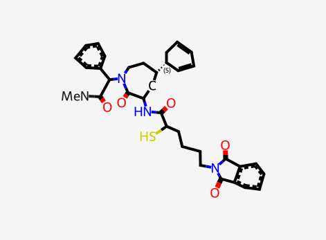 CNC(=O)C(c1ccccc1)N1CCC([C@H]2C=CC=CC2)CC(NC(=O)C(S)CCCCN2C(=O)c3ccccc3C2=O)C1=O